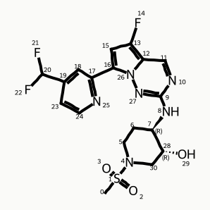 CS(=O)(=O)N1CC[C@@H](Nc2ncc3c(F)cc(-c4cc(C(F)F)ccn4)n3n2)[C@H](O)C1